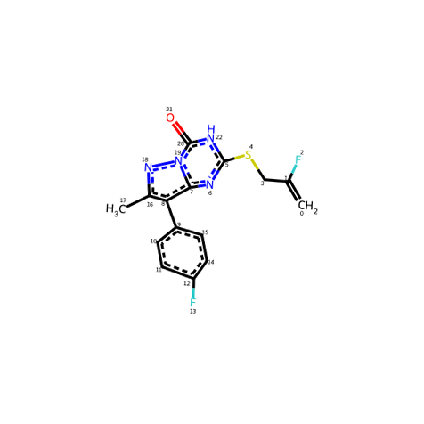 C=C(F)CSc1nc2c(-c3ccc(F)cc3)c(C)nn2c(=O)[nH]1